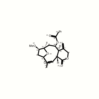 C=C1COC(=O)[C@@H]2/C=C(/C)[C@@]3(OC)C[C@@H](OC)[C@@](C)(C[C@@H](OC(=O)C(C)C)[C@@H]12)O3